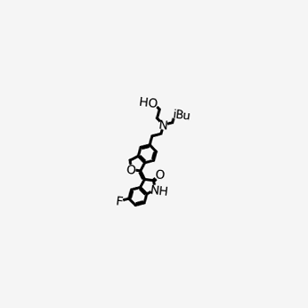 CCC(C)CN(CCO)CCc1ccc2c(c1)CO/C2=C1/C(=O)Nc2ccc(F)cc21